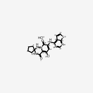 Cl.O=C1NC2(CCCC2)Nn2c1c(Cl)cc(Nc1ncnc3sccc13)c2=O